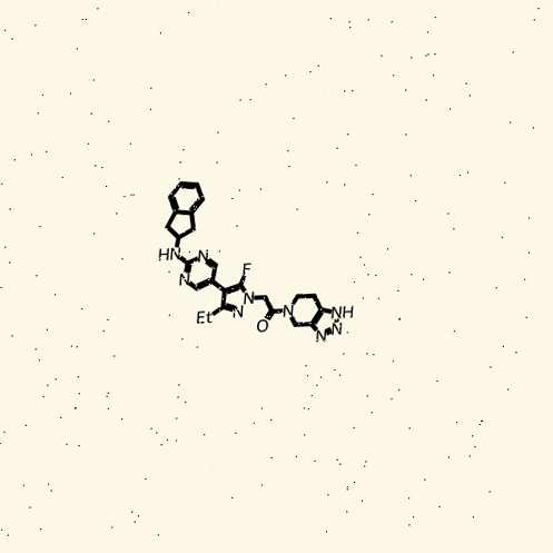 CCc1nn(CC(=O)N2CCc3[nH]nnc3C2)c(F)c1-c1cnc(NC2Cc3ccccc3C2)nc1